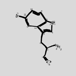 N[C@@H](C=O)Cc1c[nH]c2ccc(Br)cc12